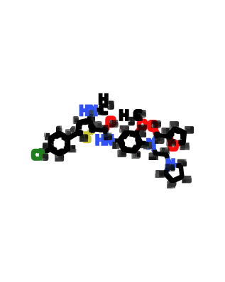 CNc1cc(-c2ccc(Cl)cc2)sc1C(=O)Nc1ccc(N(CCN2CCCC2)C(=O)c2ccco2)c(OC)c1